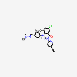 C#Cc1ccc(NC(=O)c2cc(Cl)cc(OC)c2N(C=O)c2ccc(C=NN(C)CC)cc2)nc1